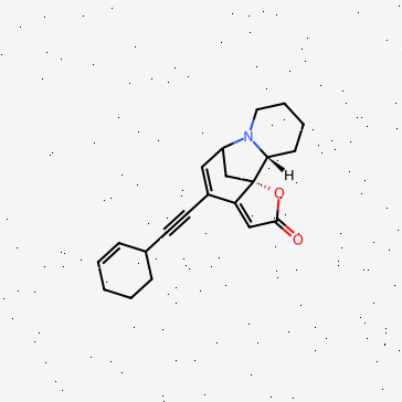 O=C1C=C2C(C#CC3C=CCCC3)=CC3C[C@@]2(O1)[C@H]1CCCCN31